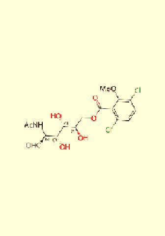 COc1c(Cl)ccc(Cl)c1C(=O)OC[C@@H](O)[C@@H](O)[C@H](O)[C@@H](C=O)NC(C)=O